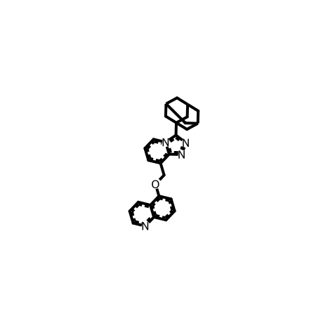 c1cc(OCc2cccn3c(C45CC6CC(CC(C6)C4)C5)nnc23)c2cccnc2c1